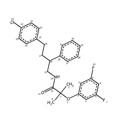 CC(C)(Oc1cc(F)cc(F)c1)C(=O)NCC(CCc1ccc(Cl)cc1)c1ccccc1